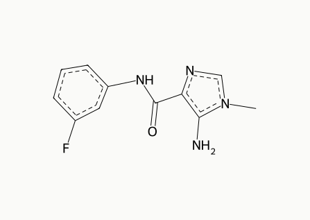 Cn1cnc(C(=O)Nc2cccc(F)c2)c1N